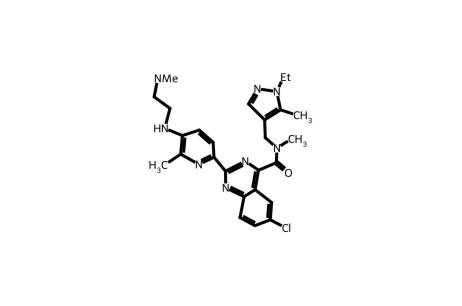 CCn1ncc(CN(C)C(=O)c2nc(-c3ccc(NCCNC)c(C)n3)nc3ccc(Cl)cc23)c1C